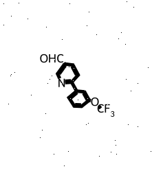 O=Cc1ccc(-c2cccc(OC(F)(F)F)c2)nc1